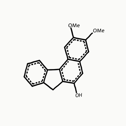 COc1cc2cc(O)c3c(c2cc1OC)-c1ccccc1C3